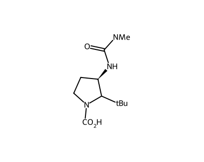 CNC(=O)N[C@@H]1CCN(C(=O)O)C1C(C)(C)C